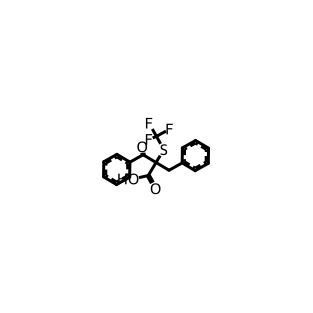 O=C(O)C(Cc1ccccc1)(SC(F)(F)F)C(=O)c1ccccc1